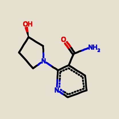 NC(=O)c1cccnc1N1CC[C@@H](O)C1